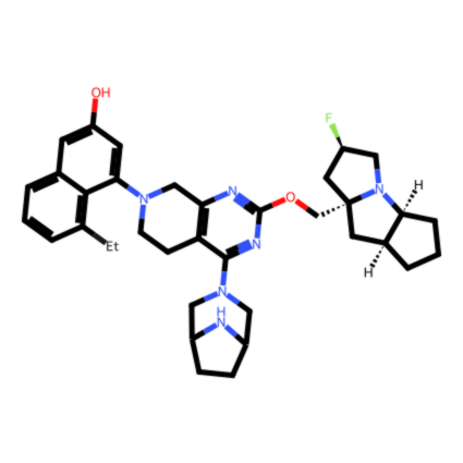 CCc1cccc2cc(O)cc(N3CCc4c(nc(OC[C@]56C[C@@H](F)CN5[C@H]5CCC[C@H]5C6)nc4N4CC5CCC(C4)N5)C3)c12